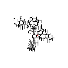 [2H]c1c([2H])c(F)c(F)c(C([2H])([2H])Sc2c([2H])c(=O)c3c([2H])c([2H])c([2H])c([2H])c3n2C([2H])([2H])C(=O)N(Cc2c([2H])c([2H])c(-c3c([2H])c([2H])c(C(F)(F)F)c(C)c3[2H])c([2H])c2[2H])C2CCN(C([2H])([2H])C([2H])([2H])OC([2H])([2H])[2H])CC2)c1[2H]